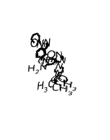 Cc1ccc2c(cnn2C2CCCCO2)c1Oc1nc(N)cc2c(N3CCN(C(=O)OC(C)(C)C)CC3)ncnc12